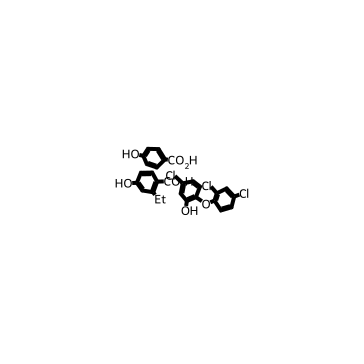 CCc1cc(O)ccc1C(=O)O.O=C(O)c1ccc(O)cc1.Oc1cc(Cl)ccc1Oc1ccc(Cl)cc1Cl